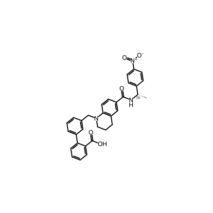 C[C@H](NC(=O)c1ccc2c(c1)CCCN2Cc1cccc(-c2ccccc2C(=O)O)c1)c1ccc([N+](=O)[O-])cc1